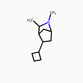 CC1C2CC(CC2C2CCC2)N1C